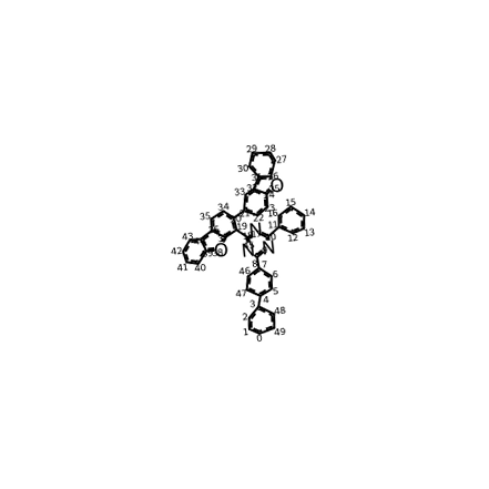 c1ccc(-c2ccc(-c3nc(-c4ccccc4)nc(-c4c(-c5ccc6oc7ccccc7c6c5)ccc5c4oc4ccccc45)n3)cc2)cc1